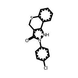 O=c1c2c([nH]n1-c1ccc(Cl)cc1)-c1ccccc1SC2